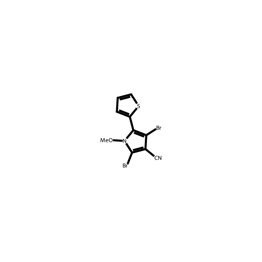 COn1c(Br)c(C#N)c(Br)c1-c1cccs1